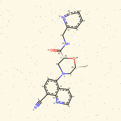 C[C@@H]1CN(c2ccc(C#N)c3ncccc23)C[C@H](C(=O)NCc2ccccn2)O1